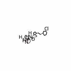 C[C@H]1[C@H](NC(=O)c2ccc(C=Cc3cccc(Cl)c3)s2)C2CCN1CC2